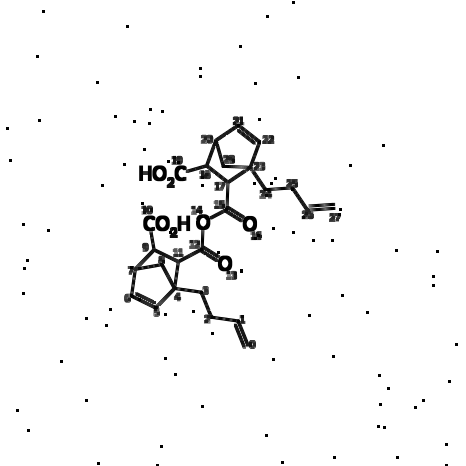 C=CCCC12C=CC(C1)C(C(=O)O)C2C(=O)OC(=O)C1C(C(=O)O)C2C=CC1(CCC=C)C2